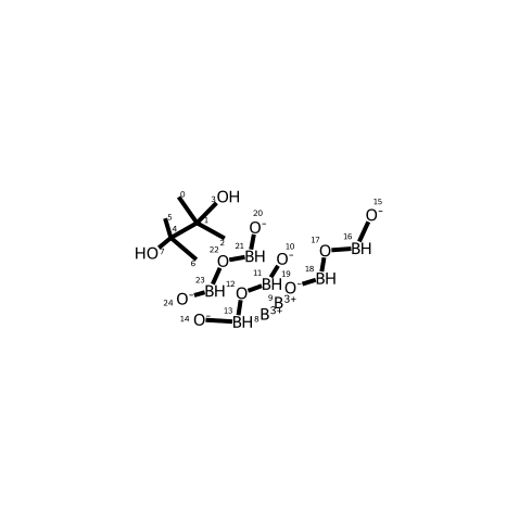 CC(C)(O)C(C)(C)O.[B+3].[B+3].[O-]BOB[O-].[O-]BOB[O-].[O-]BOB[O-]